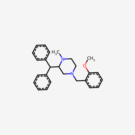 COc1ccccc1CN1CCN(C)C(C(c2ccccc2)c2ccccc2)C1